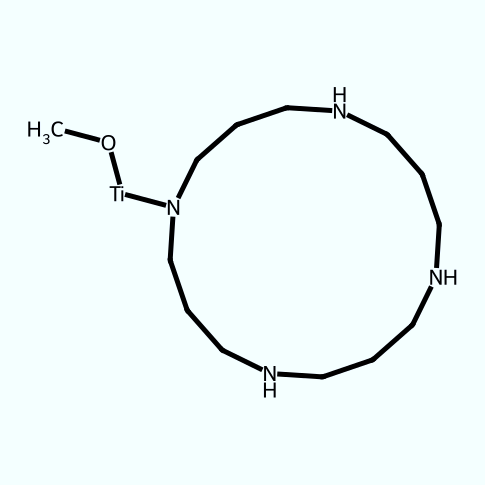 C[O][Ti][N]1CCCNCCCNCCCNCCC1